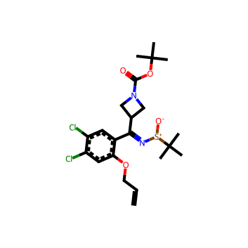 C=CCOc1cc(Cl)c(Cl)cc1/C(=N/[S+]([O-])C(C)(C)C)C1CN(C(=O)OC(C)(C)C)C1